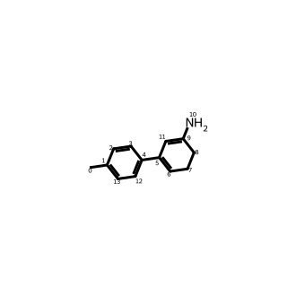 Cc1ccc(C2=CCCC(N)=C2)cc1